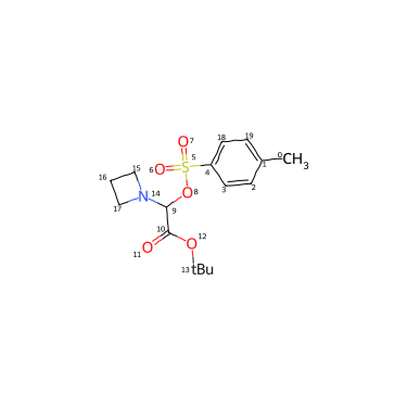 Cc1ccc(S(=O)(=O)OC(C(=O)OC(C)(C)C)N2CCC2)cc1